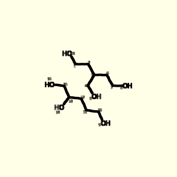 OCCC(CO)CCO.OCCCC(O)CO